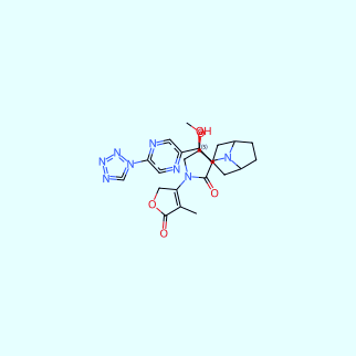 COC1CN(C2=C(C)C(=O)OC2)C(=O)C12CC1CCC(C2)N1C[C@H](O)c1cnc(-n2cnnn2)cn1